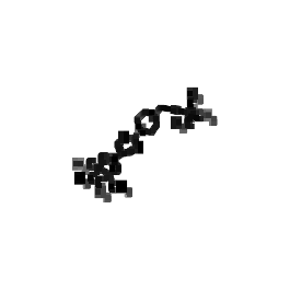 CC1(C)OB(c2cnc(N3CCN(CC#C[Si](C)(C)C)CC3)nc2)OC1(C)C